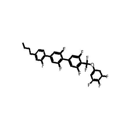 CCCCc1ccc(-c2cc(F)c(-c3cc(F)c(C(F)(F)OC4=CC(F)=C(F)C(F)C4)c(F)c3)c(F)c2)c(F)c1